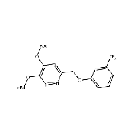 CCCCOc1cc(COc2cccc(C(F)(F)F)c2)nnc1OCCCC